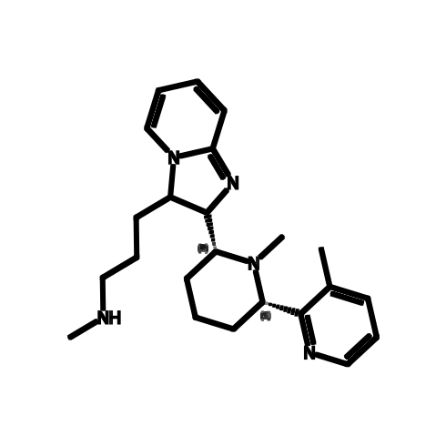 CNCCCC1C([C@H]2CCC[C@@H](c3ncccc3C)N2C)N=C2C=CC=CN21